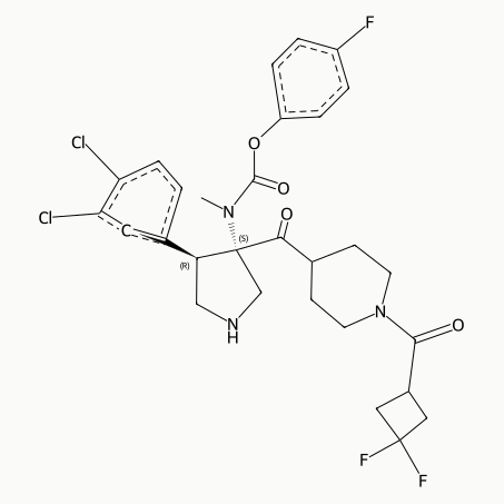 CN(C(=O)Oc1ccc(F)cc1)[C@]1(C(=O)C2CCN(C(=O)C3CC(F)(F)C3)CC2)CNC[C@H]1c1ccc(Cl)c(Cl)c1